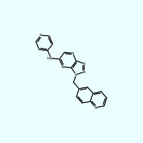 c1cnc2ccc(Cn3nnc4ncc(Nc5ccncc5)nc43)cc2c1